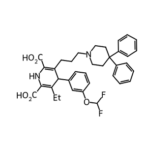 CCC1=C(C(=O)O)NC(C(=O)O)=C(CCCN2CCC(c3ccccc3)(c3ccccc3)CC2)C1c1cccc(OC(F)F)c1